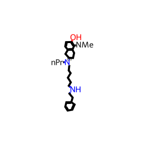 CCCN(CCCCCCNCCc1ccccc1)[C@H]1CCc2c(ccc(O)c2NC)C1